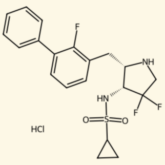 Cl.O=S(=O)(N[C@@H]1[C@H](Cc2cccc(-c3ccccc3)c2F)NCC1(F)F)C1CC1